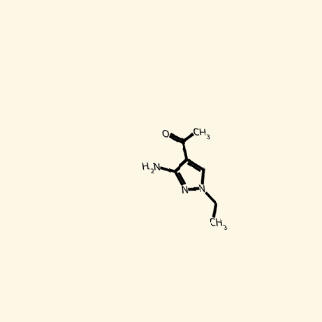 CCn1cc(C(C)=O)c(N)n1